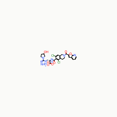 N/N=C(\NC[C@H](NC(=O)c1c(Cl)cc2c(c1Cl)CCN(C(=O)c1cc3cccnc3o1)C2)C(=O)O)N1CC[C@H](O)C1